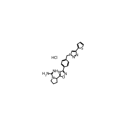 Cl.N=C(N)N1CCCC1c1nc(-c2ccc(Cn3cc(-c4cccs4)nn3)cc2)no1